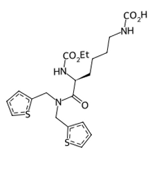 CCOC(=O)N[C@@H](CCCCNC(=O)O)C(=O)N(Cc1cccs1)Cc1cccs1